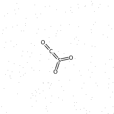 O=C=S(=O)=O